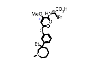 CCC1(c2cccc(OC(=O)/C=C(/OC)C(=O)N[C@H](C(=O)O)C(C)C)c2)CCCCN(C)C1